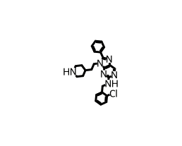 Clc1ccccc1CNc1ncc2nc(-c3ccccc3)n(CCC3CCNCC3)c2n1